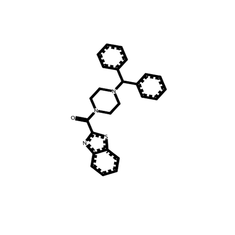 O=C(c1nc2ccccc2s1)N1CCN(C(c2ccccc2)c2ccccc2)CC1